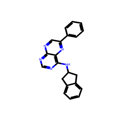 c1ccc(-c2cnc3ncnc(NC4Cc5ccccc5C4)c3n2)cc1